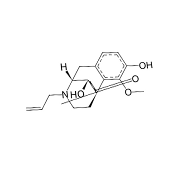 C=CCN1CC[C@]23CC(=O)CC[C@@]2(O)[C@H]1Cc1ccc(O)c(OC)c13